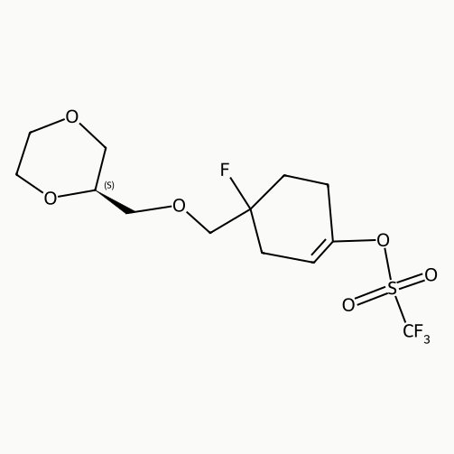 O=S(=O)(OC1=CCC(F)(COC[C@@H]2COCCO2)CC1)C(F)(F)F